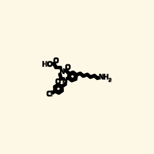 NCCCCCCc1ccc2c(c1)C(=O)N(CCC(=O)O)CC(=O)N2Cc1ccc(Cl)cc1